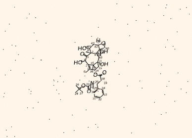 CC1=C2[C@@H](O)C(=O)[C@@]3(C)[C@H](C[C@](O)(C[C@@H]1OC(=O)[C@H](C)[C@@H](NC(=O)OC(C)(C)C)c1ccccc1)C2(C)C)[C@]1(O)CO[C@@H]1C[C@@H]3O